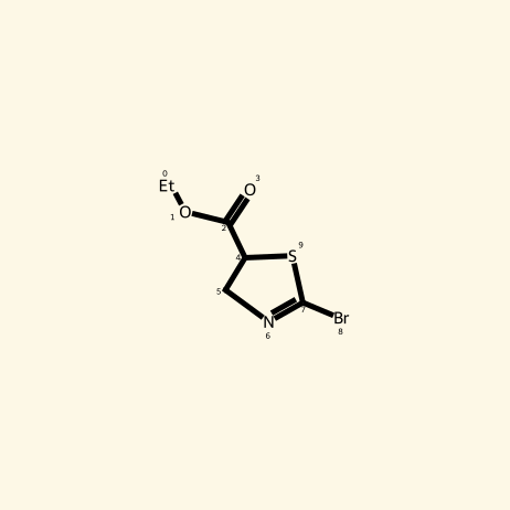 CCOC(=O)C1CN=C(Br)S1